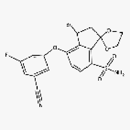 N#Cc1cc(F)cc(Oc2ccc(S(N)(=O)=O)c3c2C(Br)CC32OCCO2)c1